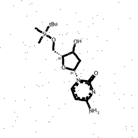 CC(C)(C)[Si](C)(C)OC[C@H]1O[C@@H](n2ccc(N)nc2=O)CC1O